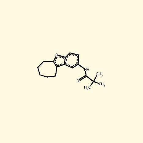 CC(C)(C)C(=O)Nc1ccc2oc3c(c2c1)CCCCC3